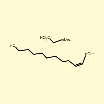 CCCCCCCC/C=C\CCCCCCCCO.CCCCCCCCCCCC(=O)O